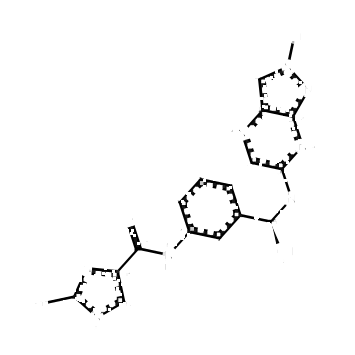 CCn1cc2ncc(N[C@@H](C)c3cccc(NC(=O)c4cnc(C(C)C)s4)c3)nc2n1